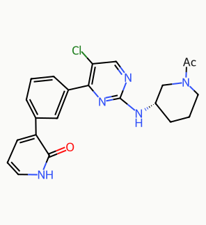 CC(=O)N1CCC[C@H](Nc2ncc(Cl)c(-c3cccc(-c4ccc[nH]c4=O)c3)n2)C1